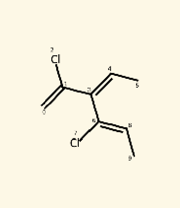 C=C(Cl)C(=CC)C(Cl)=CC